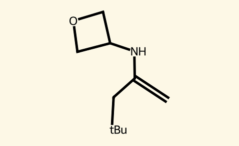 C=C(CC(C)(C)C)NC1COC1